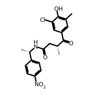 Cc1cc(C(=O)[C@H](C)CC(=O)N[C@@H](C)c2ccc([N+](=O)[O-])cc2)cc(Cl)c1O